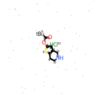 CC(C)(C)C(=O)Oc1cc2c(s1)CCNC2.Cl